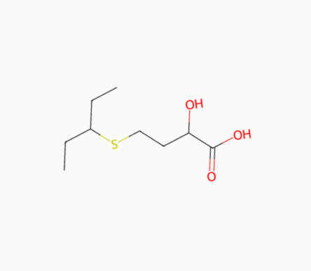 CCC(CC)SCCC(O)C(=O)O